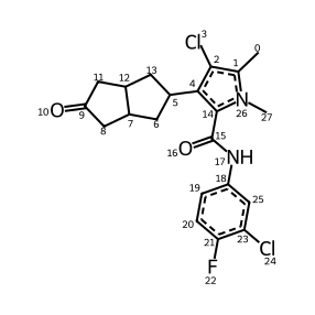 Cc1c(Cl)c(C2CC3CC(=O)CC3C2)c(C(=O)Nc2ccc(F)c(Cl)c2)n1C